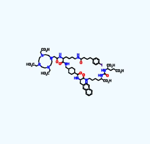 O=C(O)CCC(NC(=O)NC(CCCCNC(=O)C(Cc1ccc2ccccc2c1)NC(=O)C1CCC(CNC(=O)C(CCCCNC(=O)CCCc2ccc(I)cc2)NC(=O)CN2CCN(CC(=O)O)CCN(CC(=O)O)CCN(CC(=O)O)CC2)CC1)C(=O)O)C(=O)O